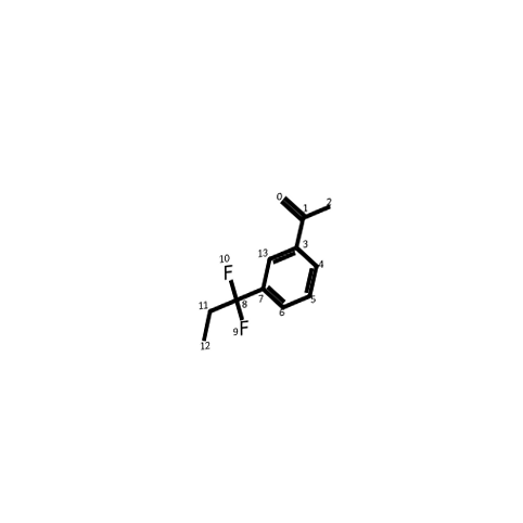 C=C(C)c1cccc(C(F)(F)CC)c1